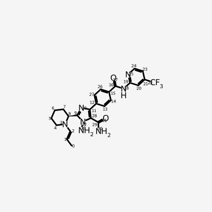 CC=CN1CCCC[C@H]1c1nc(-c2ccc(C(=O)Nc3cc(C(F)(F)F)ccn3)cc2)c(C(N)=O)n1N